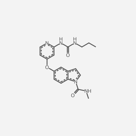 CCCNC(=O)Nc1cc(Oc2ccc3c(ccn3C(=O)NC)c2)ccn1